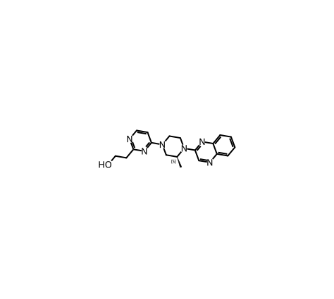 C[C@H]1CN(c2ccnc(CCO)n2)CCN1c1cnc2ccccc2n1